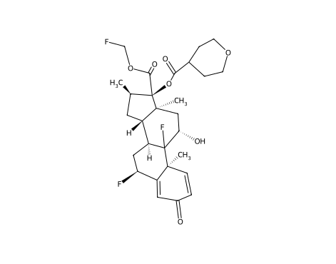 C[C@@H]1C[C@H]2[C@@H]3C[C@H](F)C4=CC(=O)C=C[C@]4(C)C3(F)[C@@H](O)C[C@]2(C)[C@@]1(OC(=O)C1CCOCC1)C(=O)OCF